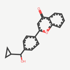 O=c1cc(-c2ccc(C(O)C3CC3)cc2)oc2ccccc12